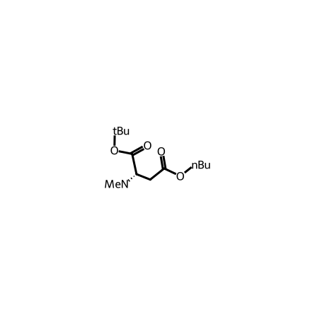 CCCCOC(=O)C[C@H](NC)C(=O)OC(C)(C)C